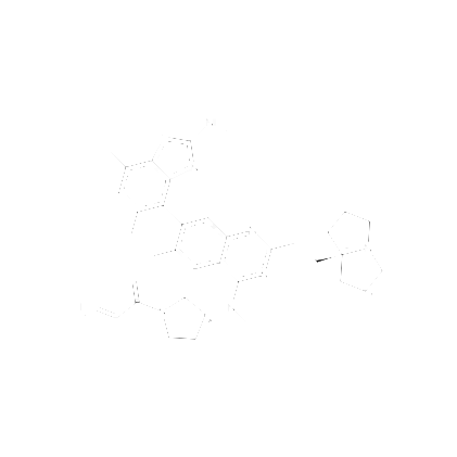 C=CC(=O)N1CC[C@@H](N(C)c2nc(OC[C@@]34CCCN3C[C@H](F)C4)nc3cc(-c4c(F)cc(F)c5sc(N)nc45)c(C(F)(F)F)cc23)C1